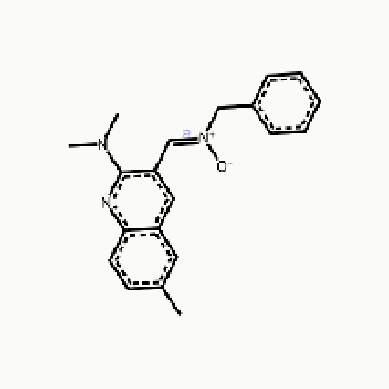 Cc1ccc2nc(N(C)C)c(/C=[N+](\[O-])Cc3ccccc3)cc2c1